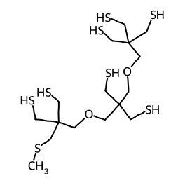 CSCC(CS)(CS)COCC(CS)(CS)COCC(CS)(CS)CS